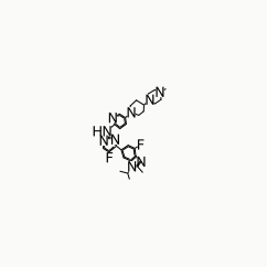 Cc1nc2c(F)cc(-c3nc(Nc4ccc(N5CCC(N6CCN(C)CC6)CC5)cn4)ncc3F)cc2n1C(C)C